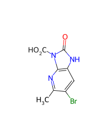 Cc1nc2c(cc1Br)[nH]c(=O)n2C(=O)O